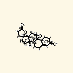 C[C@]12CCC(=O)C=C1CC[C@H]1[C@@H]3CC[C@@]4(CCC(=O)O4)[C@@]3(C)C[C@H]3OC312